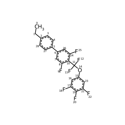 CCc1ccc(-c2cc(F)c(C(F)(F)Oc3cc(F)c(F)c(F)c3)c(F)c2)cc1